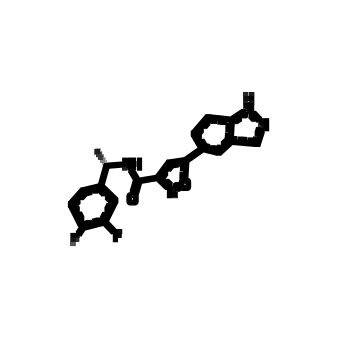 C[C@H](NC(=O)c1cc(-c2ccc3[nH]ncc3c2)on1)c1ccc(F)c(F)c1